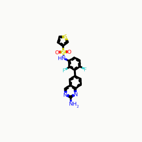 Nc1ncc2cc(-c3c(F)ccc(NS(=O)(=O)c4ccsc4)c3F)ccc2n1